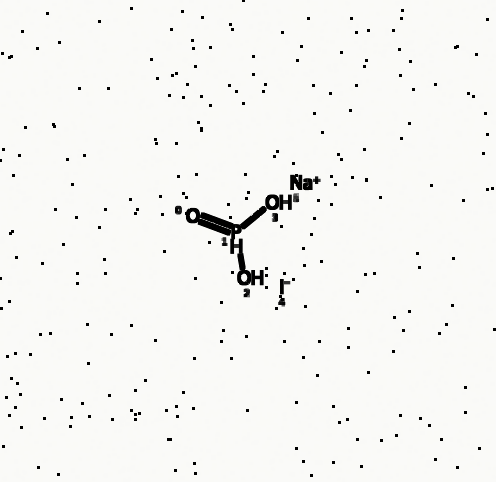 O=[PH](O)O.[I-].[Na+]